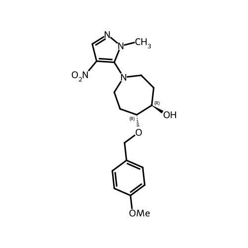 COc1ccc(CO[C@@H]2CCN(c3c([N+](=O)[O-])cnn3C)CC[C@H]2O)cc1